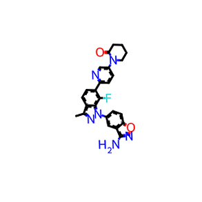 Cc1nn(-c2ccc3onc(N)c3c2)c2c(F)c(-c3ccc(N4CCCCC4=O)cn3)ccc12